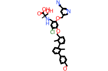 Cc1c(COc2cc(OCc3cncc(C#N)c3)c(CN[C@@](C)(CO)C(=O)O)cc2Cl)cccc1-c1cccc(-c2ccc(C=O)cc2)c1C